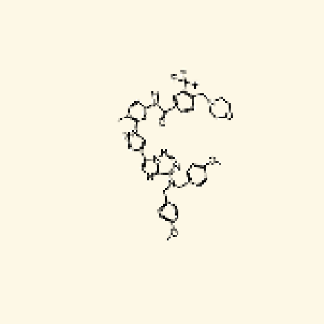 COc1ccc(CN(Cc2ccc(OC)cc2)c2ncnn3c(-c4cnn(-c5cc(NC(=O)c6ccc(CN7CCOCC7)c(C(F)(F)F)c6)ccc5C)c4)cnc23)cc1